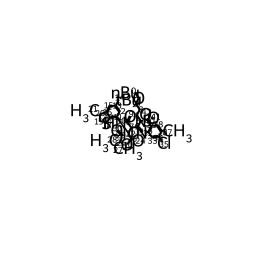 CCCCOCCCN1C(C(C(=O)Nc2cc(C(C)(C)C)cc3c2SCC3C)N2C(=O)OC(C)(C)C2=O)=Nc2cc(Cl)c(C)cc2S1(=O)=O